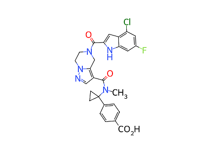 CN(C(=O)c1cnn2c1CN(C(=O)c1cc3c(Cl)cc(F)cc3[nH]1)CC2)C1(c2ccc(C(=O)O)cc2)CC1